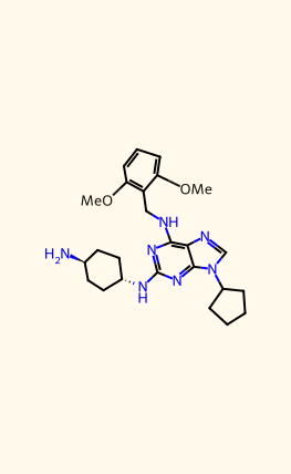 COc1cccc(OC)c1CNc1nc(N[C@H]2CC[C@H](N)CC2)nc2c1ncn2C1CCCC1